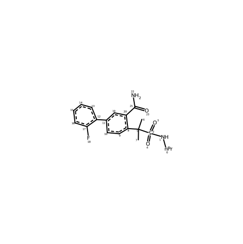 CCCNS(=O)(=O)C(C)(C)c1ccc(-c2ccccc2F)cc1C(N)=O